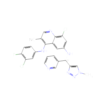 Cn1cc([C@@H](Nc2cc(Cl)c3ncc(C#N)c(Nc4ccc(F)c(Cl)c4)c3c2)c2cccnc2)nn1